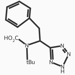 CC(C)(C)N(C(=O)O)C(Cc1ccccc1)c1nn[nH]n1